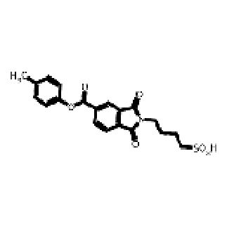 Cc1ccc(OC(=O)c2ccc3c(c2)C(=O)N(CCCCS(=O)(=O)O)C3=O)cc1